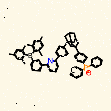 Cc1cc(C)c(B(c2cccc(-c3cccc(-c4ccc(C56CC7CC(C5)CC(c5ccc(P(=O)(c8ccccc8)c8ccccc8)cc5)(C7)C6)cc4)n3)c2)c2c(C)cc(C)cc2C)c(C)c1